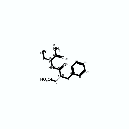 CC(C)C[C@H](NC(=O)[C@@H](CC(=O)O)Cc1ccccc1)C(N)=O